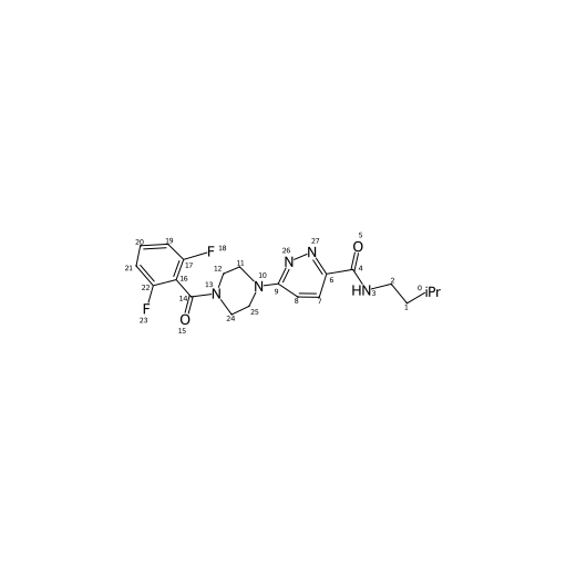 CC(C)CCNC(=O)c1ccc(N2CCN(C(=O)c3c(F)cccc3F)CC2)nn1